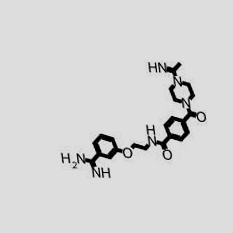 CC(=N)N1CCN(C(=O)c2ccc(C(=O)NCCOc3cccc(C(=N)N)c3)cc2)CC1